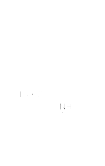 Cc1cc(N)c(C(=O)O)c(C)c1C